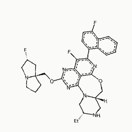 CC[C@@H]1CN2c3nc(OC[C@@]45CCCN4C[C@H](F)C5)nc4c(F)c(-c5ccc(F)c6ccccc56)nc(c34)OC[C@@H]2CN1